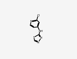 Clc1cc(Nc2nncs2)ccn1